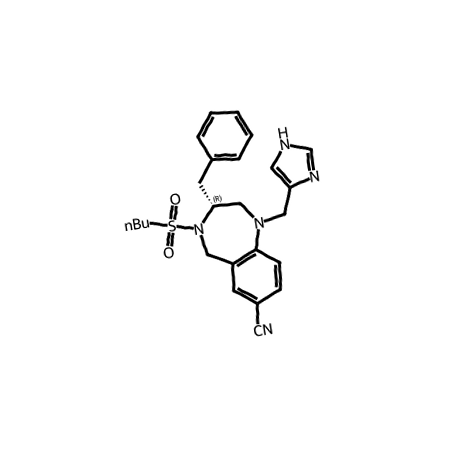 CCCCS(=O)(=O)N1Cc2cc(C#N)ccc2N(Cc2c[nH]cn2)C[C@H]1Cc1ccccc1